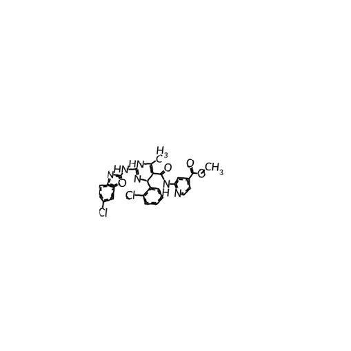 COC(=O)c1ccnc(NC(=O)C2=C(C)NC(Nc3nc4ccc(Cl)cc4o3)=NC2c2ccccc2Cl)c1